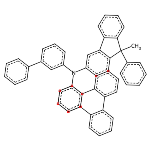 CC1(c2ccccc2)c2ccccc2-c2cc(N(c3cccc(-c4ccccc4)c3)c3ccccc3-c3ccccc3-c3ccccc3-c3ccccc3)ccc21